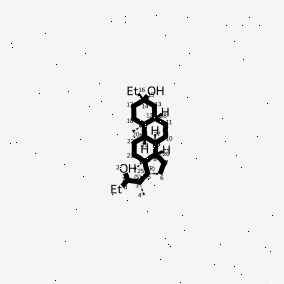 CCC(O)[C@@H](C)[C@H]1CC[C@H]2[C@@H]3CC[C@H]4C[C@](O)(CC)CC[C@]4(C)[C@H]3CC[C@]12C